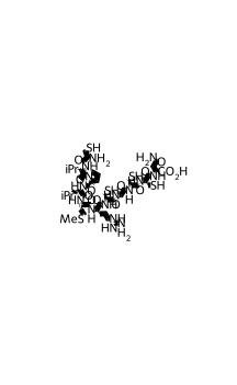 CSCC[C@H](NC(=O)[C@H](CC(C)C)NC(=O)[C@@H]1CCCN1C(=O)[C@@H](NC(=O)[C@@H](N)CS)C(C)C)C(=O)N[C@@H](CCCNC(=N)N)C(=O)N[C@@H](CS)C(=O)NCC(=O)N[C@@H](CS)C(=O)N[C@@H](CS)C(=O)N[C@@H](CC(N)=O)C(=O)O